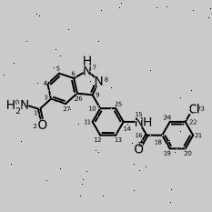 NC(=O)c1ccc2[nH]nc(-c3cccc(NC(=O)c4cccc(Cl)c4)c3)c2c1